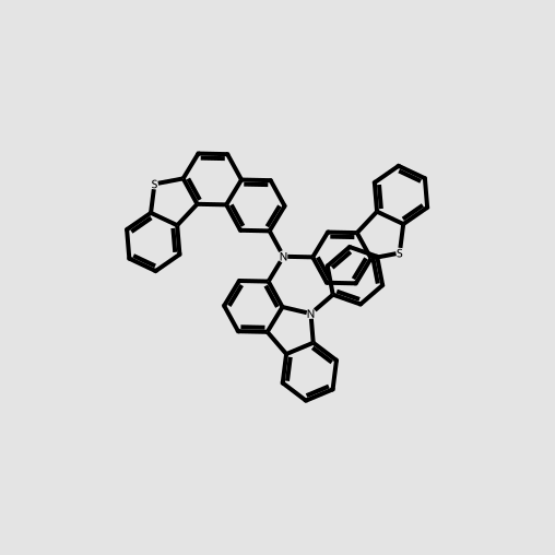 c1ccc(-n2c3ccccc3c3cccc(N(c4ccc5sc6ccccc6c5c4)c4ccc5ccc6sc7ccccc7c6c5c4)c32)cc1